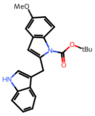 COc1ccc2c(c1)cc(Cc1c[nH]c3ccccc13)n2C(=O)OC(C)(C)C